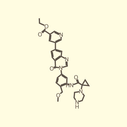 CCOC(=O)c1cncc(-c2ccc3c(=O)n(-c4ccc(COC)c(NC(=O)C5(N6CCNCC6)CC5)c4)cnc3c2)c1